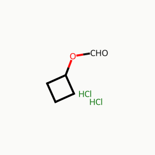 Cl.Cl.O=COC1CCC1